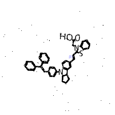 O=C(O)C[n+]1c(/C=C/c2ccc3c(c2)C2CCCC2N3c2ccc(C=C(c3ccccc3)c3ccccc3)cc2)sc2ccccc21